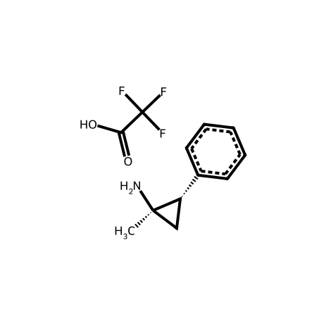 C[C@@]1(N)C[C@H]1c1ccccc1.O=C(O)C(F)(F)F